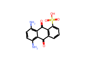 Nc1ccc(N)c2c1C(=O)c1cccc(S(=O)(=O)O)c1C2=O